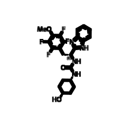 COc1c(F)c(F)c(C[C@@H](NC(=O)N[C@H]2CC[C@H](O)CC2)c2nc3ccccc3[nH]2)c(F)c1F